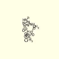 COCCOC(=O)[C@H](C)NP(=O)(OC[C@@H]1OC[C@H](n2cnc3c(NC4CC4)nc(N)nc32)O1)Oc1ccccc1